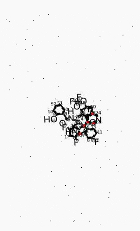 O=C(NCC[C@](c1ccc(F)cc1)(c1cc(F)cc(F)c1)c1cncc(F)c1CC[C@H]1CNCCN1C(=O)c1ccc2c(c1)OC(F)(F)O2)c1ccccc1O